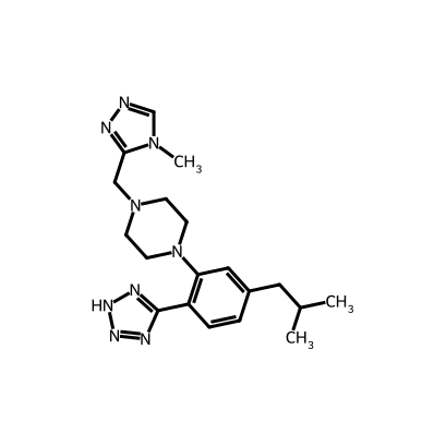 CC(C)Cc1ccc(-c2nn[nH]n2)c(N2CCN(Cc3nncn3C)CC2)c1